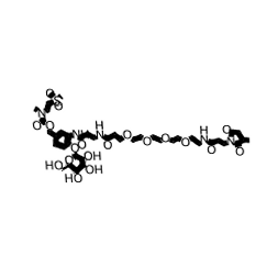 CC1CC(=O)N(CCC(=O)NCCOCCOCCOCCOCCC(=O)NCCC(=O)Nc2cc(COC(=O)N(C)CCS(C)(=O)=O)ccc2O[C@@H]2O[C@H](CO)[C@H](O)[C@H](O)[C@H]2O)C1=O